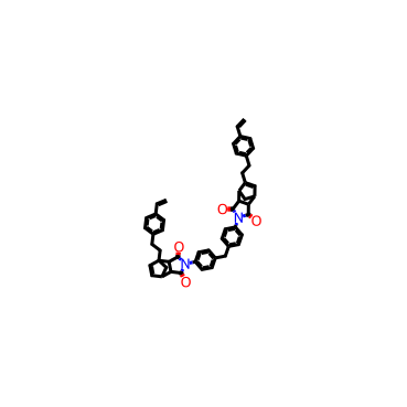 C=Cc1ccc(CCC2=CC3CC2C2C(=O)N(c4ccc(Cc5ccc(N6C(=O)C7C8C=CC(CCc9ccc(C=C)cc9)(C8)C7C6=O)cc5)cc4)C(=O)C32)cc1